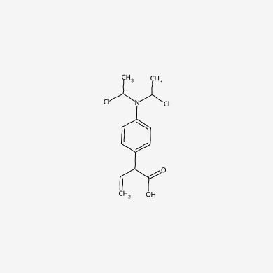 C=CC(C(=O)O)c1ccc(N(C(C)Cl)C(C)Cl)cc1